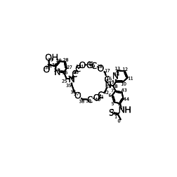 CC(=S)Nc1ccc(C(c2ccccn2)N2CCOCCOCCN(Cc3cccc(C(=O)O)n3)CCOCCOCC2)cc1